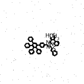 C/C=C(\C(=C/C)c1nc(-c2ccc(-c3cc(C4=CCCC=C4)c(C4=CCCC=C4)c(-c4ccccc4)c3-c3ccccc3)cc2)nc(-c2cc3ccccc3s2)n1)c1ccccc1